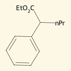 CCCC(C(=O)OCC)c1ccccc1